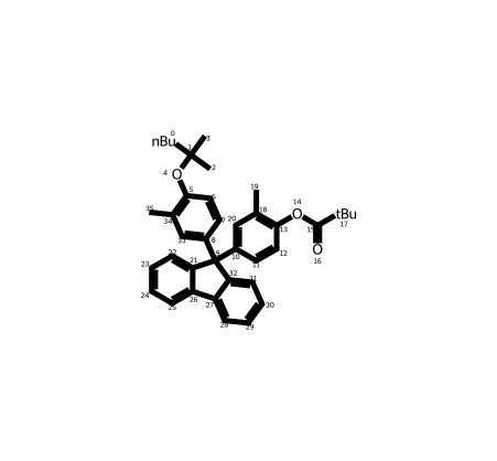 CCCCC(C)(C)Oc1ccc(C2(c3ccc(OC(=O)C(C)(C)C)c(C)c3)c3ccccc3-c3ccccc32)cc1C